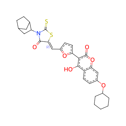 O=C1/C(=C/c2ccc(-c3c(O)c4ccc(OC5CCCCC5)cc4oc3=O)o2)SC(=S)N1C1CC2CCC1C2